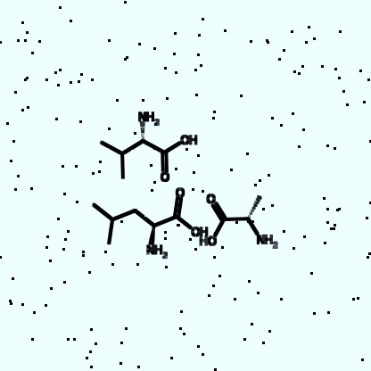 CC(C)C[C@H](N)C(=O)O.CC(C)[C@H](N)C(=O)O.C[C@H](N)C(=O)O